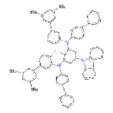 CC(C)(C)c1cc(-c2ccc3c(c2)N(c2ccc(-c4ccccc4)cc2)c2cc(-n4c5ccccc5c5ccccc54)cc4c2B3c2ccc(-c3cc(C(C)(C)C)cc(C(C)(C)C)c3)cc2N4c2ccc(-c3ccccc3)cc2)cc(C(C)(C)C)c1